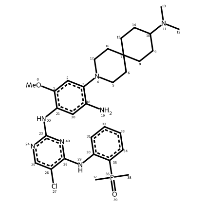 COc1cc(N2CCC3(CCC(N(C)C)CC3)CC2)c(N)cc1Nc1ncc(Cl)c(Nc2ccccc2P(C)(C)=O)n1